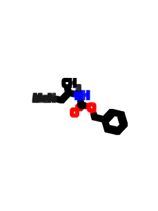 CNCC(C)NC(=O)OCc1ccccc1